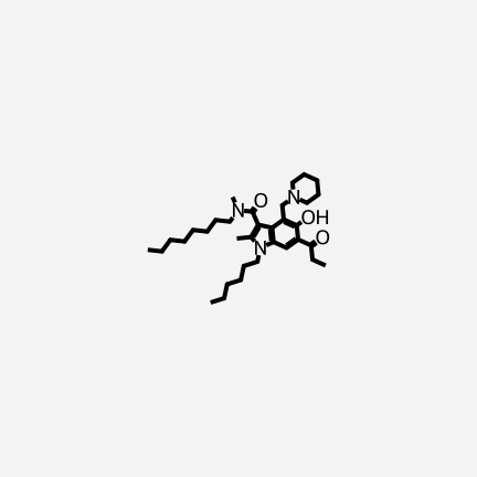 CCCCCCCCN(C)C(=O)c1c(C)n(CCCCCC)c2cc(C(=O)CC)c(O)c(CN3CCCCC3)c12